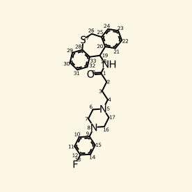 O=C(CCCN1CCN(c2ccc(F)cc2)CC1)NC1c2ccccc2CSc2ccccc21